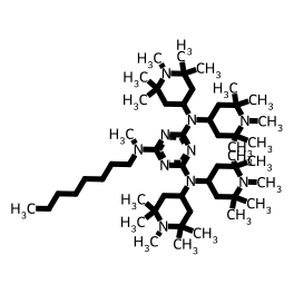 CCCCCCCCN(C)c1nc(N(C2CC(C)(C)N(C)C(C)(C)C2)C2CC(C)(C)N(C)C(C)(C)C2)nc(N(C2CC(C)(C)N(C)C(C)(C)C2)C2CC(C)(C)N(C)C(C)(C)C2)n1